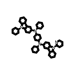 c1ccc(N(c2ccc(N(c3ccccc3)c3ccc4c(c3)c3ccccc3n4-c3ccccn3)cc2)c2ccc3c(c2)c2ccccc2n3-c2ccccc2)cc1